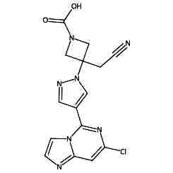 N#CCC1(n2cc(-c3nc(Cl)cc4nccn34)cn2)CN(C(=O)O)C1